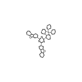 c1ccc(C2(c3ccccc3)c3ccccc3-c3c(-c4nc(-c5ccc6c(c5)oc5ccccc56)nc(-c5ccc6c(c5)oc5ccccc56)n4)cccc32)cc1